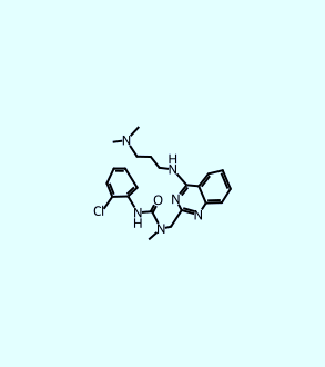 CN(C)CCCNc1nc(CN(C)C(=O)Nc2ccccc2Cl)nc2ccccc12